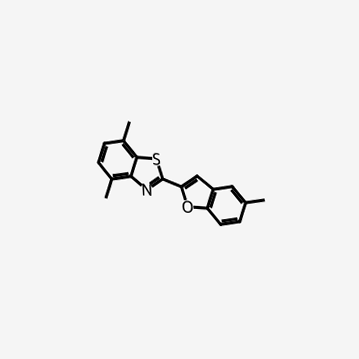 Cc1ccc2oc(-c3nc4c(C)ccc(C)c4s3)cc2c1